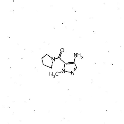 Cn1ncc(N)c1C(=O)N1CCCC1